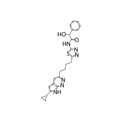 O=C(Nc1nnc(CCCCc2cc3cc(C4CC4)[nH]c3nn2)s1)C(O)c1ccccc1